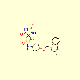 CCC1(CS(=O)(=O)Nc2ccc(OCc3cc(C)nc4ccccc34)cc2)NC(=O)NC1=O